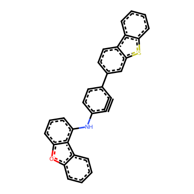 c1c(Nc2cccc3oc4ccccc4c23)ccc(-c2ccc3c(c2)sc2ccccc23)c#1